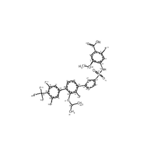 COc1cc(C(=O)O)c(F)cc1NS(=O)(=O)c1csc(-c2ccc(-c3cc(F)c(C(F)(F)F)c(F)c3)c(OC(C)C)c2F)n1